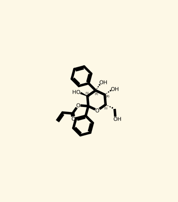 C=CC(=O)OC1(c2ccccc2)O[C@@H](CO)[C@@H](O)[C@](O)(c2ccccc2)[C@@H]1O